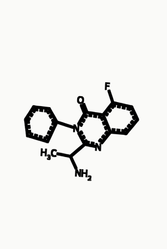 CC(N)c1nc2cccc(F)c2c(=O)n1-c1ccccc1